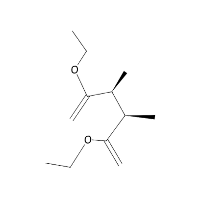 C=C(OCC)[C@@H](C)[C@@H](C)C(=C)OCC